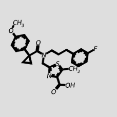 COc1ccc(C2(C(=O)N(CCCc3cccc(F)c3)Cc3nc(C(=O)O)c(C)s3)CC2)cc1